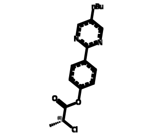 CCCCc1cnc(-c2ccc(OC(=O)[C@@H](C)Cl)cc2)nc1